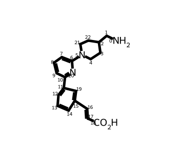 NCC1CCN(c2cccc(-c3cccc(/C=C/C(=O)O)c3)n2)CC1